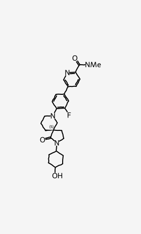 CNC(=O)c1ccc(-c2ccc(N3CCC[C@]4(CCN(C5CCC(O)CC5)C4=O)C3)c(F)c2)cn1